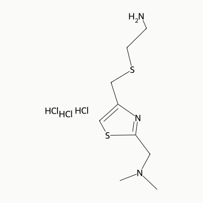 CN(C)Cc1nc(CSCCN)cs1.Cl.Cl.Cl